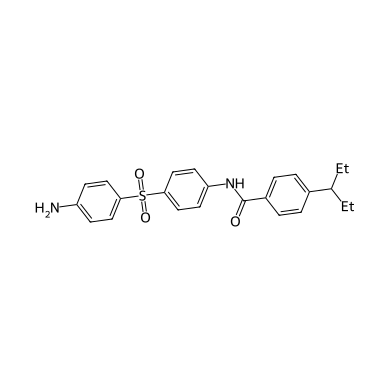 CCC(CC)c1ccc(C(=O)Nc2ccc(S(=O)(=O)c3ccc(N)cc3)cc2)cc1